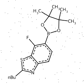 CCCCc1nc2ccc(B3OC(C)(C)C(C)(C)O3)c(F)c2s1